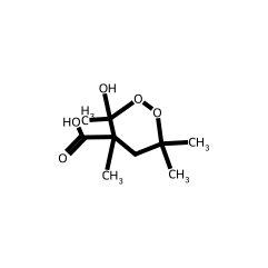 CC1(C)CC(C)(C(=O)O)C(C)(O)OO1